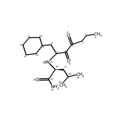 CCCC(=O)C(=O)C(CC1CCCCC1)N[C@@H](CC(C)C)C(N)=O